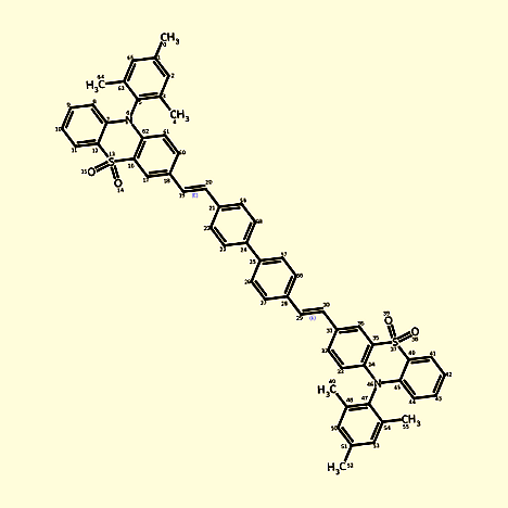 Cc1cc(C)c(N2c3ccccc3S(=O)(=O)c3cc(/C=C/c4ccc(-c5ccc(/C=C/c6ccc7c(c6)S(=O)(=O)c6ccccc6N7c6c(C)cc(C)cc6C)cc5)cc4)ccc32)c(C)c1